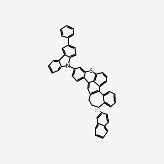 c1ccc(-c2ccc3c(c2)c2ccccc2n3-c2ccc3c(c2)Sc2cccc4c5c(cc-3c24)CC[C@@H](c2ccc3ccccc3c2)c2ccccc2-5)cc1